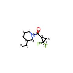 CCC1CCCN(C(=O)C2CC2(F)F)C1